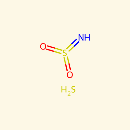 N=S(=O)=O.S